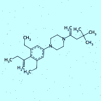 C=C(CC)c1c(CC)cc(N2CCN(C(=C)CC(C)(C)C)CC2)cc1CC